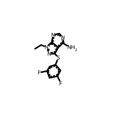 CCn1nc(Sc2cc(F)cc(F)c2)c2c(N)ncnc21